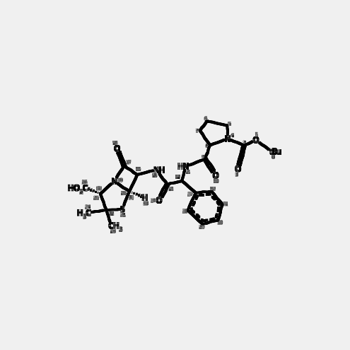 CC(C)(C)OC(=O)N1CCCC1C(=O)NC(C(=O)NC1C(=O)N2[C@@H]1SC(C)(C)[C@@H]2C(=O)O)c1ccccc1